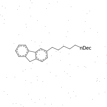 CCCCCCCCCCCCCCCc1ccc2c(c1)-c1ccccc1C2